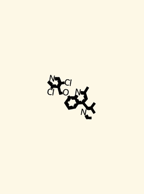 C/C=N\C(=C(C)C)c1cc(C)nc2c(OCc3c(Cl)cncc3Cl)cccc12